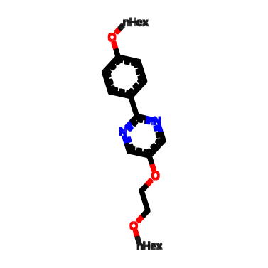 CCCCCCOCCOc1cnc(-c2ccc(OCCCCCC)cc2)nc1